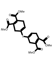 COC(=O)C1=C(C(=O)OC)CC(SC2=CCC(C(=O)OC)=C(C(=O)OC)C2)=CC1